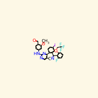 COc1cc(Nc2ncc3c(n2)-c2ccc(I)cc2C(c2c(F)cccc2OCC(F)(F)F)=NC3)ccc1C=O